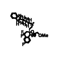 [2H]C([2H])(c1nc2ccccc2[nH]1)C([2H])([2H])C([2H])([2H])N(C)CC[C@@]1(OC(=O)COC)CC(F)(F)c2cc(F)ccc2[C@@H]1C(C)C